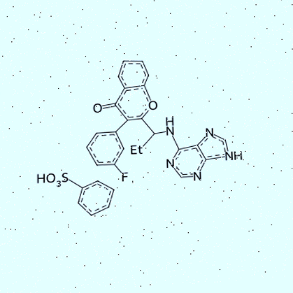 CCC(Nc1ncnc2[nH]cnc12)c1oc2ccccc2c(=O)c1-c1cccc(F)c1.O=S(=O)(O)c1ccccc1